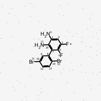 Nc1cc(F)c(F)c(-c2cc(Br)ccc2Br)c1N